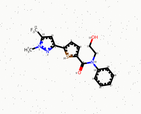 Cn1nc(-c2ccc(C(=O)N(CCO)c3ccccc3)s2)cc1C(F)(F)F